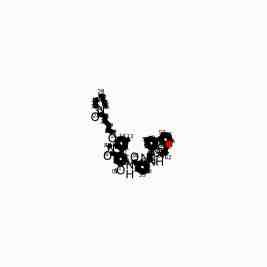 COc1cc(C(=O)N(C)c2ccc(C)cc2OCCCCCC(=O)N2CCN(C)CC2)ccc1NC(=O)c1cccc2[nH]c(CO[Si](c3ccccc3)(c3ccccc3)C(C)(C)C)nc12